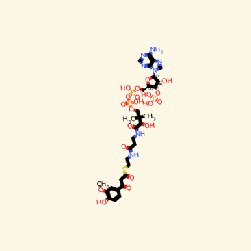 COc1cc(C(=O)CC(=O)SCCNC(=O)CCNC(=O)C(O)C(C)(C)COP(=O)(O)OP(=O)(O)OC[C@H]2O[C@@H](n3cnc4c(N)ncnc43)[C@H](O)[C@@H]2OP(=O)(O)O)ccc1O